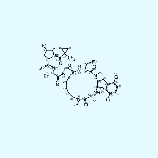 CC[C@H](NC(=O)[C@@H]1C[C@@H](F)CN1C(=O)C1(C(F)(F)F)CC1)C(=O)N(C)[C@H]1CCCCN(C)C(=O)[C@@H](C)NC(=O)[C@H](Cc2cc(Cl)ccc2Cl)N(C)C(=O)[C@H](CC(C)C)NC1=O